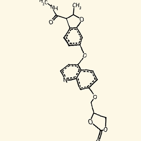 CNC(=O)C1c2ccc(Oc3ccnc4cc(OCC5COC(=O)O5)ccc34)cc2OC1C